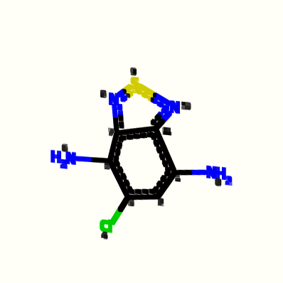 Nc1cc(Cl)c(N)c2nsnc12